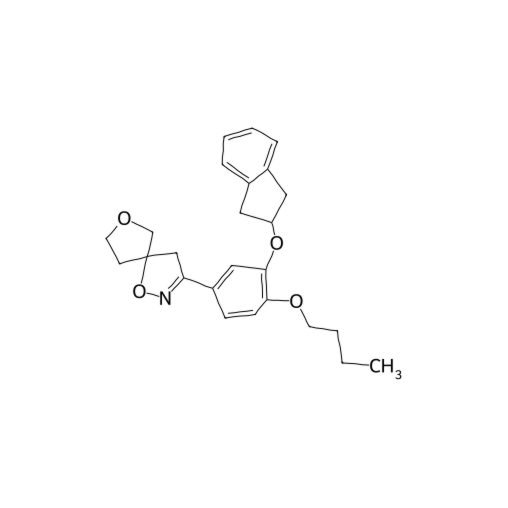 CCCCOc1ccc(C2=NOC3(CCOC3)C2)cc1OC1Cc2ccccc2C1